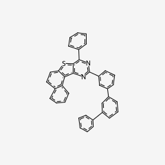 c1ccc(-c2cccc(-c3cccc(-c4nc(-c5ccccc5)c5sc6ccc7ccccc7c6c5n4)c3)c2)cc1